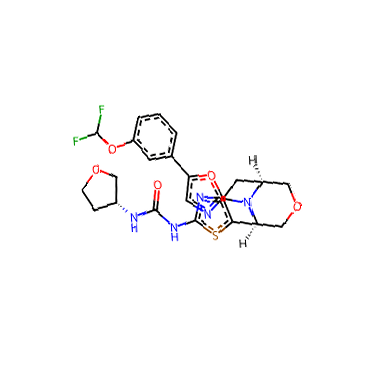 O=C(Nc1nc2c(s1)[C@@H]1COC[C@H](C2)N1c1ncc(-c2cccc(OC(F)F)c2)o1)N[C@@H]1CCOC1